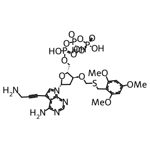 COc1cc(OC)c(CSCO[C@H]2C[C@H](n3cc(C#CCN)c4c(N)ncnc43)O[C@@H]2COP(=O)(O)OP(=O)(O)OP(=O)(O)O)c(OC)c1